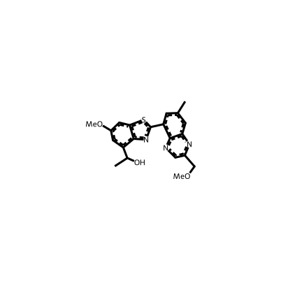 COCc1cnc2c(-c3nc4c(C(C)O)cc(OC)cc4s3)cc(C)cc2n1